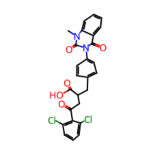 Cn1c(=O)n(-c2ccc(CC(CC(=O)c3c(Cl)cccc3Cl)C(=O)O)cc2)c(=O)c2ccccc21